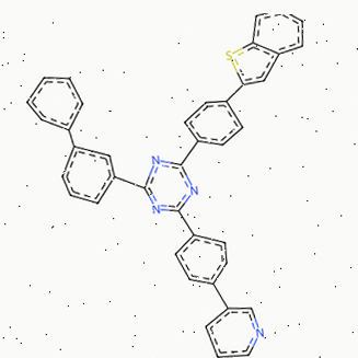 c1ccc(-c2cccc(-c3nc(-c4ccc(-c5cccnc5)cc4)nc(-c4ccc(-c5cc6ccccc6s5)cc4)n3)c2)cc1